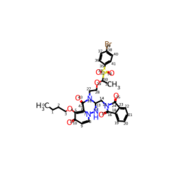 CCCCOc1c2n(ccc1=O)NC(CN1C(=O)c3ccccc3C1=O)N(CCOC(C)S(=O)(=O)c1ccc(Br)cc1)C2=O